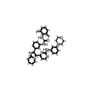 O=C(Nc1cccc(-c2nc3ccccn3c2-c2ccnc(Nc3cccc(N4CCOCC4)c3)n2)c1)Nc1c(F)cccc1F